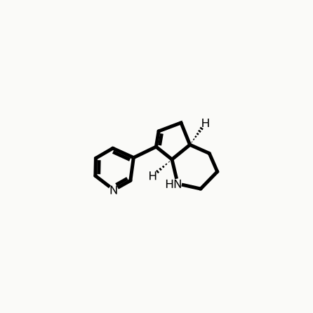 C1=C(c2cccnc2)[C@@H]2NCCC[C@@H]2C1